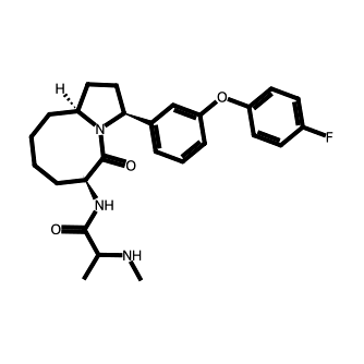 CNC(C)C(=O)N[C@H]1CCCC[C@H]2CC[C@@H](c3cccc(Oc4ccc(F)cc4)c3)N2C1=O